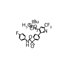 CC(C)(C)[Si](C)(C)OCc1cc(C(F)(F)F)ncc1-c1ccc(C2(C(=O)Nc3ccc(F)cc3)COC2)cc1